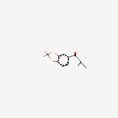 BC1(O)Oc2ccc(C(=O)[C@](B)(C)NC)cc2O1